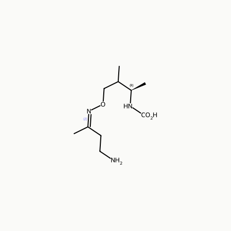 C/C(CCN)=N/OCC(C)[C@@H](C)NC(=O)O